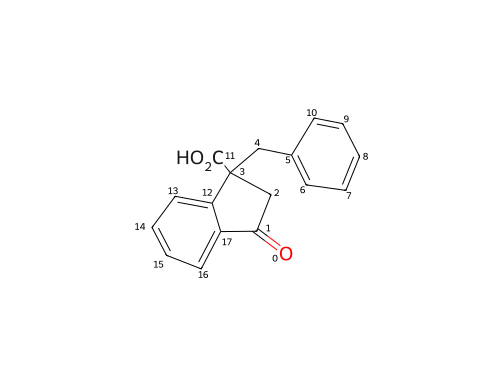 O=C1CC(Cc2ccccc2)(C(=O)O)c2ccccc21